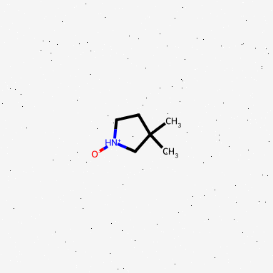 CC1(C)CC[NH+]([O-])C1